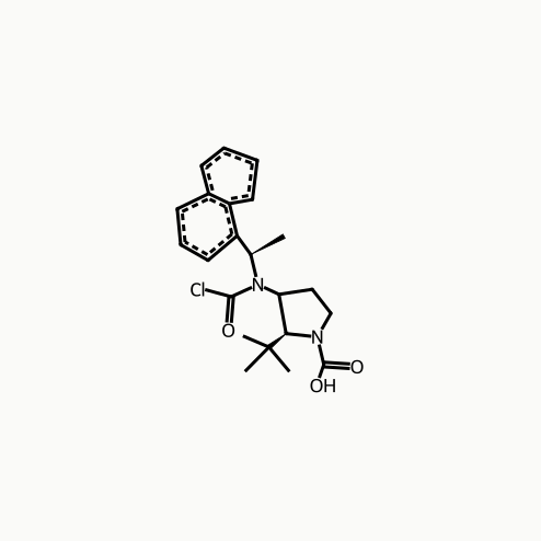 C[C@H](c1cccc2ccccc12)N(C(=O)Cl)C1CCN(C(=O)O)[C@H]1C(C)(C)C